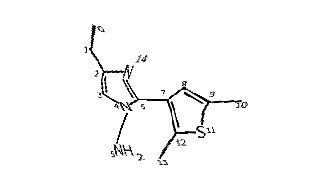 CCc1cn(N)c(-c2cc(C)sc2C)n1